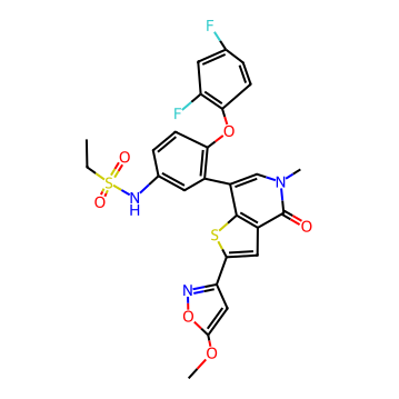 CCS(=O)(=O)Nc1ccc(Oc2ccc(F)cc2F)c(-c2cn(C)c(=O)c3cc(-c4cc(OC)on4)sc23)c1